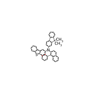 CC1(C)c2ccccc2-c2ccc(N(c3ccc4sc5ccccc5c4c3)c3ccc4ccccc4c3-c3ccccc3)cc21